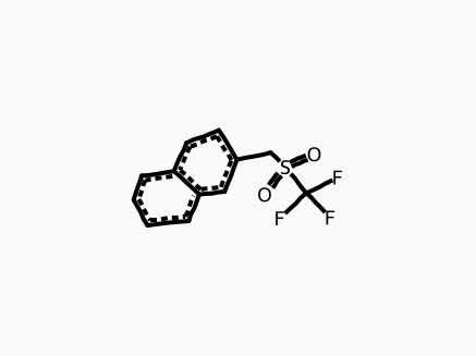 O=S(=O)(Cc1ccc2ccccc2c1)C(F)(F)F